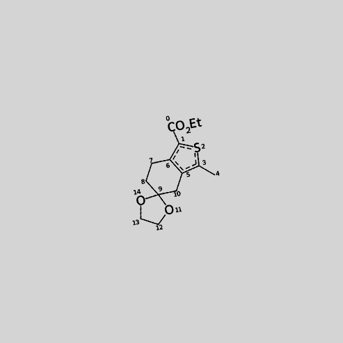 CCOC(=O)c1sc(C)c2c1CCC1(C2)OCCO1